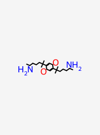 CC(N)CCCC(C)(C)C1=CC(=O)C(C(C)(C)CCCC(C)N)=CC1=O